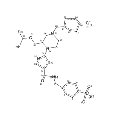 CCS(=O)(=O)c1ccc(CNC(=O)c2cnc(N3CCN(Cc4ccc(C(F)(F)F)cc4)CC3COC(F)F)s2)cc1